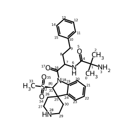 CC(C)(N)C(=O)NC(CCc1ccccc1)C(=O)N1c2ccccc2C2(CCNCC2)[C@H]1S(C)(=O)=O